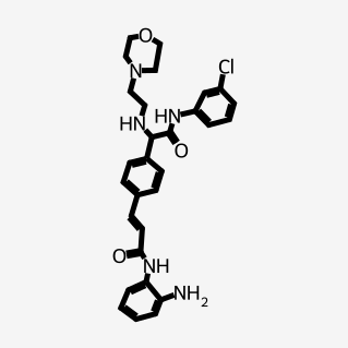 Nc1ccccc1NC(=O)C=Cc1ccc(C(NCCN2CCOCC2)C(=O)Nc2cccc(Cl)c2)cc1